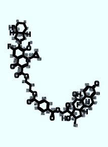 COc1c(N2C[C@H]3CCCN[C@H]3C2)c(F)cc2c(=O)c(C(=O)OCCCOC(=O)c3ccc(C(=O)OCC(=O)[C@@]4(O)[C@H](C)C[C@H]5[C@@H]6CCC7=CC(=O)C=C[C@]7(C)[C@@]6(F)[C@@H](O)C[C@@]54C)cc3)cn(C3CC3)c12